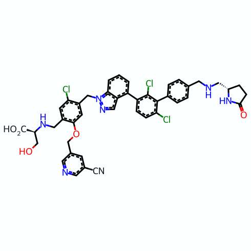 N#Cc1cncc(COc2cc(Cn3ncc4c(-c5ccc(Cl)c(-c6ccc(CNC[C@@H]7CCC(=O)N7)cc6)c5Cl)cccc43)c(Cl)cc2CN[C@@H](CO)C(=O)O)c1